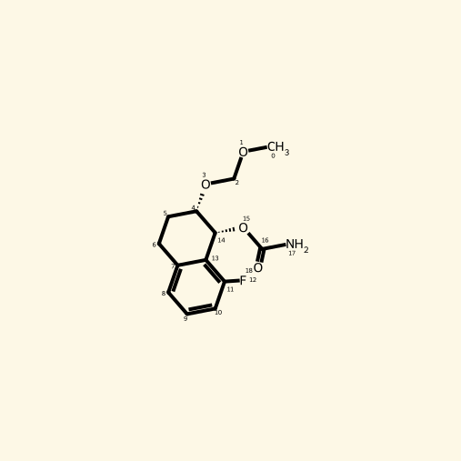 COCO[C@H]1CCc2cccc(F)c2[C@H]1OC(N)=O